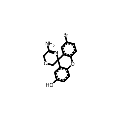 NC1=NC2(COC1)c1cc(O)ccc1Oc1ccc(Br)cc12